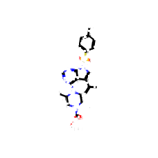 C=C(C)c1cn(S(=O)(=O)c2ccc(C)cc2)c2ncnc(N3C[C@H](C)N(C(=O)OC(C)(C)C)CC3C)c12